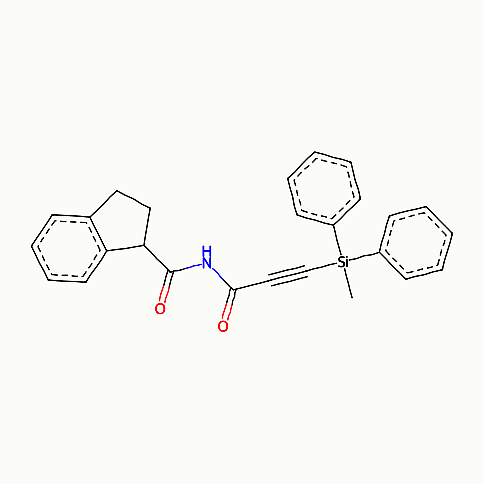 C[Si](C#CC(=O)NC(=O)C1CCc2ccccc21)(c1ccccc1)c1ccccc1